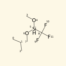 CCC.CO[SiH](OC)C(F)(F)F